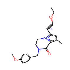 CCO/C=C/c1cc(C)c2n1CCN(Cc1ccc(OC)cc1)C2=O